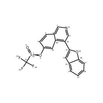 O=[S@@](Oc1ccc2cncc(-c3cc4ccccc4o3)c2c1)C(F)(F)F